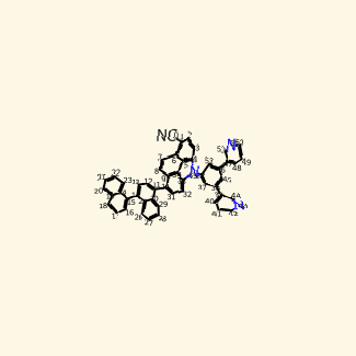 N#Cc1ccc2c3c1ccc1c(-c4ccc(-c5cccc6ccccc56)c5ccccc45)ccc(c13)n2-c1cc(-c2cccnc2)cc(-c2cccnc2)c1